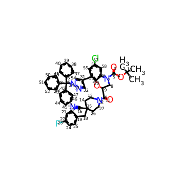 CC(C)(C)OC(=O)N1CC(C(=O)N2CCC(C#N)(Cc3ccc(F)cc3)CC2)Oc2c(-c3cnn(C(c4ccccc4)(c4ccccc4)c4ccccc4)c3)cc(Cl)cc21